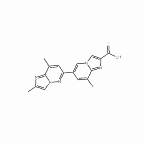 Cc1cn2nc(-c3cc(F)c4nc(C(=O)O)cn4c3)cc(C)c2n1